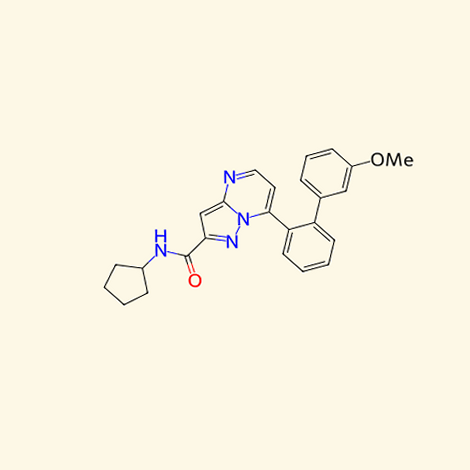 COc1cccc(-c2ccccc2-c2ccnc3cc(C(=O)NC4CCCC4)nn23)c1